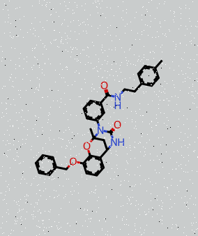 Cc1ccc(CCNC(=O)c2cccc(N3C(=O)NC4CC3(C)Oc3c(OCc5ccccc5)cccc34)c2)cc1